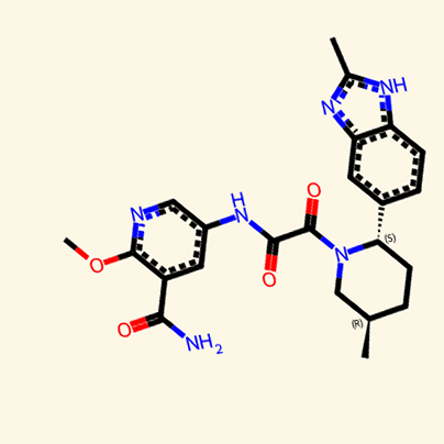 COc1ncc(NC(=O)C(=O)N2C[C@H](C)CC[C@H]2c2ccc3[nH]c(C)nc3c2)cc1C(N)=O